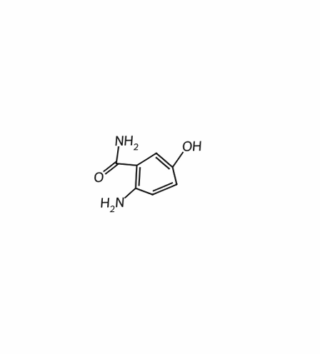 NC(=O)c1cc(O)ccc1N